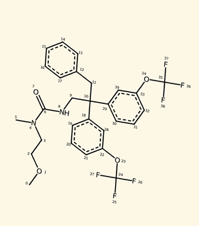 COCCN(C)C(=O)NCC(Cc1ccccc1)(c1cccc(OC(F)(F)F)c1)c1cccc(OC(F)(F)F)c1